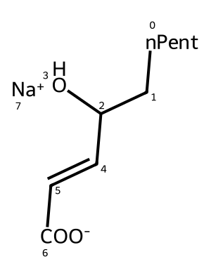 CCCCCCC(O)C=CC(=O)[O-].[Na+]